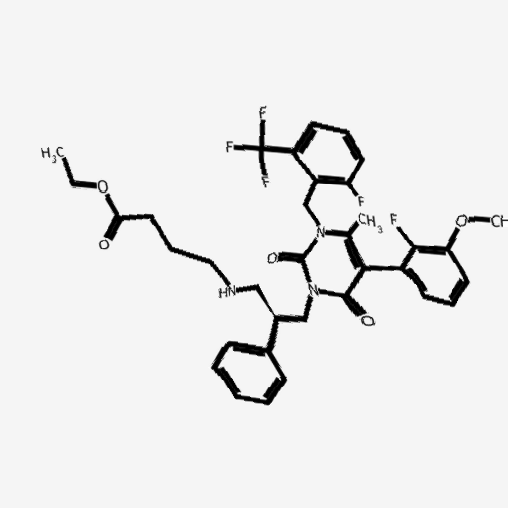 CCOC(=O)CCCNC[C@@H](Cn1c(=O)c(-c2cccc(OC)c2F)c(C)n(Cc2c(F)cccc2C(F)(F)F)c1=O)c1ccccc1